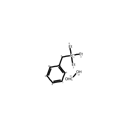 CC[N+](CC)(CC)Cc1ccccc1.O=[C-]O